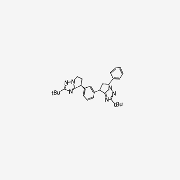 CC(C)(C)c1nc2n(n1)CC[C@H]2c1cccc(C2CC(c3ccccc3)n3nc(C(C)(C)C)nc32)c1